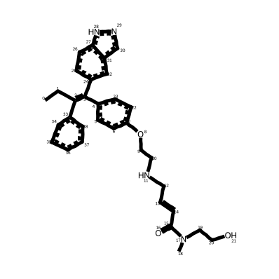 CC/C(=C(/c1ccc(OCCNC/C=C/C(=O)N(C)CCO)cc1)c1ccc2[nH]ncc2c1)c1ccccc1